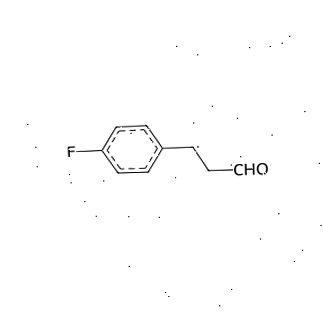 O=CC[CH]c1ccc(F)cc1